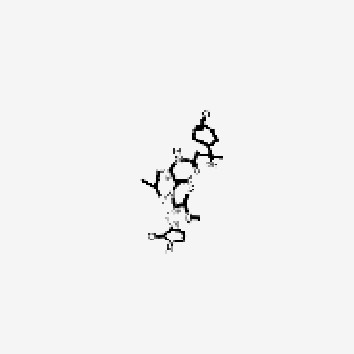 COC(=O)[C@H](C[C@@H]1CCNC1=O)NC(=O)[C@H](CC(C)C)NC(=O)CC(C)(O)c1ccc(Cl)cc1